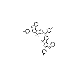 Cc1ccc(-c2cc3c(c4c2oc2ccccc24)-c2ccc(N(c4ccc(C)cc4)c4ccc5c(c4)C4(CC4)c4cc(-c6ccc(C)cc6)c6oc7ccccc7c6c4-5)cc2C3(C)C)cc1